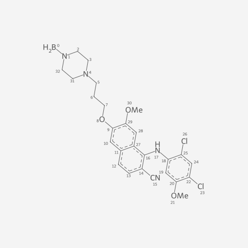 BN1CCN(CCCOc2cc3ccc(C#N)c(Nc4cc(OC)c(Cl)cc4Cl)c3cc2OC)CC1